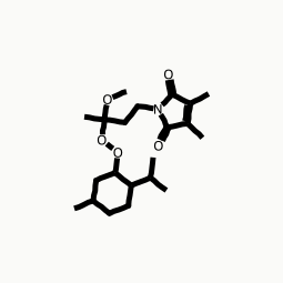 COC(C)(CCN1C(=O)C(C)=C(C)C1=O)OOC1CC(C)CCC1C(C)C